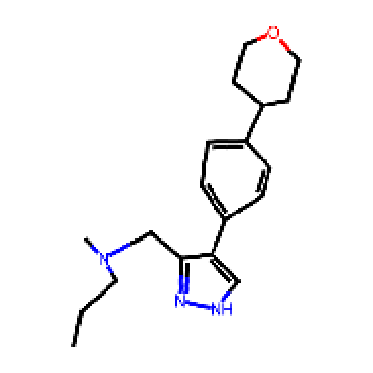 CCCN(C)Cc1n[nH]cc1-c1ccc(C2CCOCC2)cc1